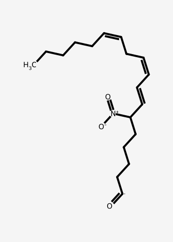 CCCCC/C=C\C/C=C\C=C\C(CCCC[C]=O)[N+](=O)[O-]